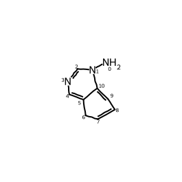 NN1C=NC=C2CC=CC=C21